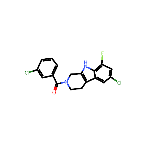 O=C(c1cccc(Cl)c1)N1CCc2c([nH]c3c(F)cc(Cl)cc23)C1